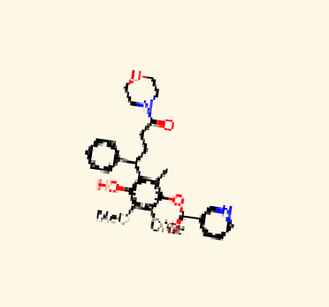 COc1c(O)c(C(CCC(=O)N2CCOCC2)c2ccccc2)c(C)c(OC(=O)c2cccnc2)c1OC